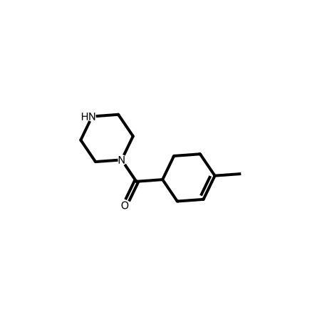 CC1=CCC(C(=O)N2CCNCC2)CC1